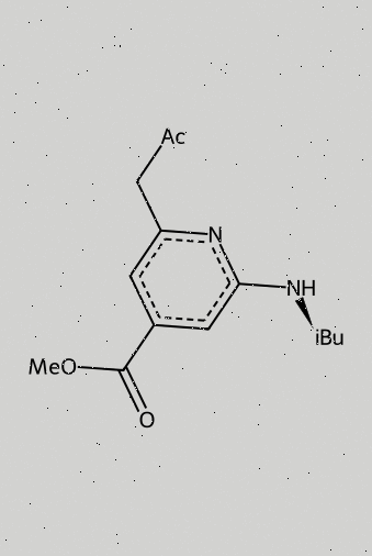 CC[C@H](C)Nc1cc(C(=O)OC)cc(CC(C)=O)n1